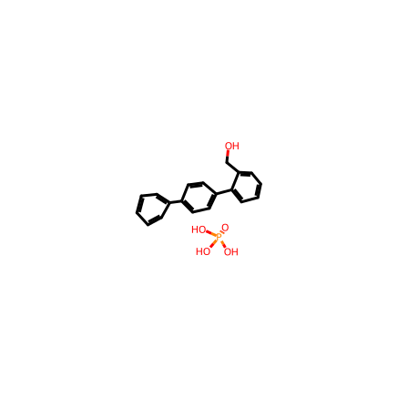 O=P(O)(O)O.OCc1ccccc1-c1ccc(-c2ccccc2)cc1